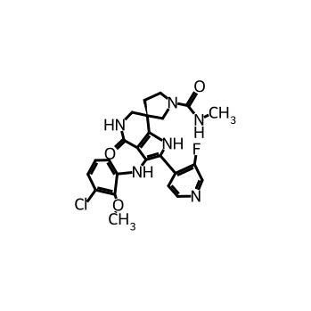 CNC(=O)N1CC[C@@]2(CNC(=O)c3c2[nH]c(-c2ccncc2F)c3Nc2cccc(Cl)c2OC)C1